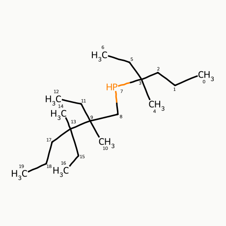 CCCC(C)(CC)PCC(C)(CC)C(C)(CC)CCC